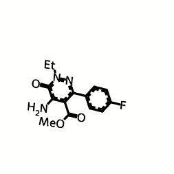 CCn1nc(-c2ccc(F)cc2)c(C(=O)OC)c(N)c1=O